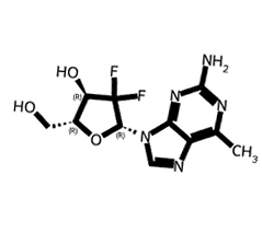 Cc1nc(N)nc2c1ncn2[C@@H]1O[C@H](CO)[C@@H](O)C1(F)F